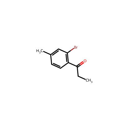 CCC(=O)c1ccc(C)cc1Br